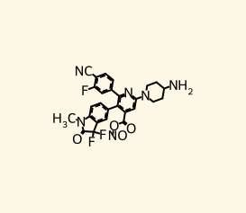 CN1C(=O)C(F)(F)c2cc(-c3c(C(=O)ON=O)cc(N4CCC(N)CC4)nc3-c3ccc(C#N)c(F)c3)ccc21